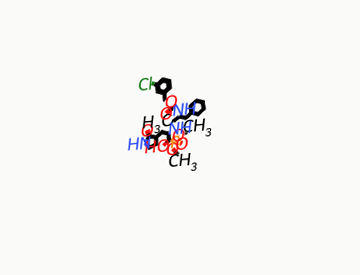 CCOP(=O)(OCC)C(O)C(CC1CCNC1=O)NC(C)C(CC1CCCCC1)NC(=O)OCc1cccc(Cl)c1